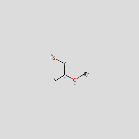 CC(C)OC(C)CS